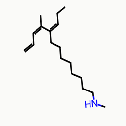 C=C/C=C(C)\C(=C/CC)CCCCCCCCNC